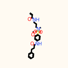 C=CC(=O)NCCCN(C)S(=O)(=O)c1ccc(NC(=O)CCc2ccccc2)cc1OC